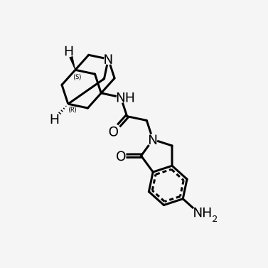 Nc1ccc2c(c1)CN(CC(=O)NC13C[C@@H]4C[C@@H](CN(C4)C1)C3)C2=O